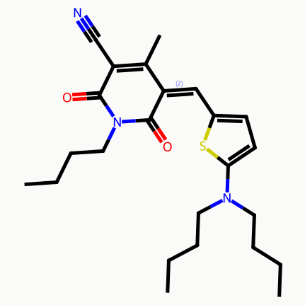 CCCCN1C(=O)C(C#N)=C(C)/C(=C/c2ccc(N(CCCC)CCCC)s2)C1=O